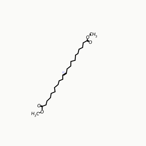 COC(=O)CCCCCCCCC/C=C/CCCCCCCCCC(=O)OC